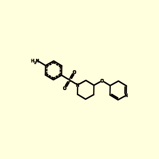 Nc1ccc(S(=O)(=O)N2CCCC(OC3C=CN=CC3)C2)cc1